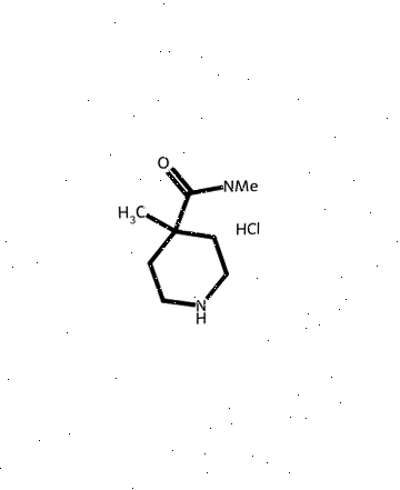 CNC(=O)C1(C)CCNCC1.Cl